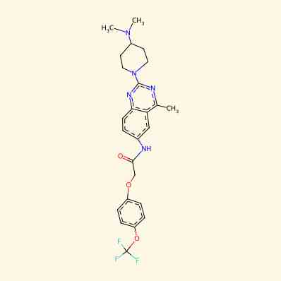 Cc1nc(N2CCC(N(C)C)CC2)nc2ccc(NC(=O)COc3ccc(OC(F)(F)F)cc3)cc12